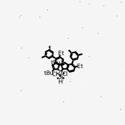 CCc1ccc2c(c1-c1cc(C)cc(C)c1)C=C(C(C)(C)C)[CH]2[Zr]([Cl])([Cl])([CH]1C(C(C)(C)C)=Cc2c1ccc(CC)c2-c1cc(C)cc(C)c1)[SiH](C)C